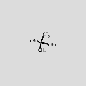 CCCC[Si](C)(CCCC)C(F)(F)F